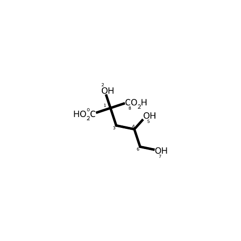 O=C(O)C(O)(CC(O)CO)C(=O)O